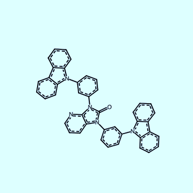 O=c1n(-c2cccc(-n3c4ccccc4c4ccccc43)c2)c2cccnc2n1-c1cccc(-n2c3ccccc3c3ccccc32)c1